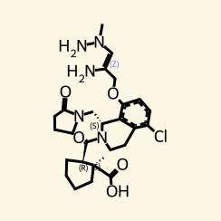 CN(N)/C=C(\N)COc1ccc(Cl)c2c1[C@@H](CN1CCCC1=O)N(C(=O)[C@@H]1CCCC[C@]1(C)C(=O)O)CC2